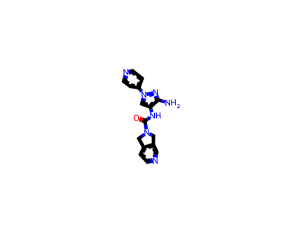 Nc1nn(-c2ccncc2)cc1NC(=O)N1Cc2ccncc2C1